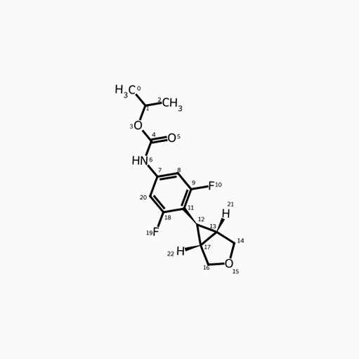 CC(C)OC(=O)Nc1cc(F)c([C@H]2[C@@H]3COC[C@@H]32)c(F)c1